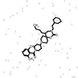 CCCCC1CN(CCC2CCCCC2)C(=O)OC12CCN(C1CCN(C(=O)c3c(C)cccc3C)CC1)CC2